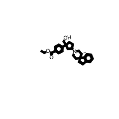 CCOC(=O)c1ccc(C2(CO)CCC(N3CCC4(C=Cc5ccccc54)[C@@H](C)C3)C2)cc1